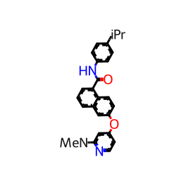 CNc1cc(Oc2ccc3c(C(=O)Nc4ccc(C(C)C)cc4)cccc3c2)ccn1